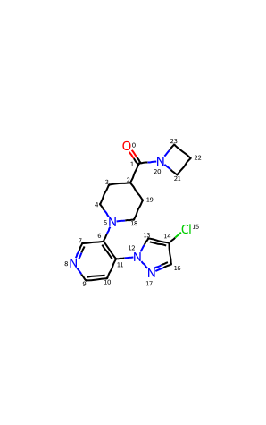 O=C(C1CCN(c2cnccc2-n2cc(Cl)cn2)CC1)N1CCC1